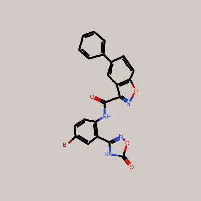 O=C(Nc1ccc(Br)cc1-c1noc(=O)[nH]1)c1noc2ccc(-c3ccccc3)cc12